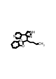 C=CCCC(c1n[nH]cc1-c1ccncc1)C1Oc2ccccc2O1